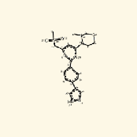 C[C@H]1COCCN1c1cc(CS(C)(=O)=O)nc(-c2ccc(-c3cn[nH]c3)cc2)n1